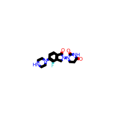 O=C1CCN(N2Cc3c(ccc(N4CCNCC4)c3F)C2=O)C(=O)N1